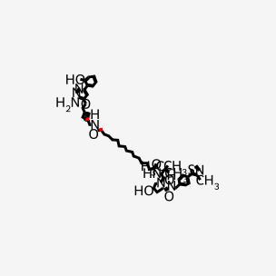 Cc1ncsc1-c1ccc(CNC(=O)[C@@H]2C[C@@H](O)CN2C(=O)[C@@H](NC(=O)CCCCCCCCCCCCCCC(=O)NCC23CC(COc4cc(-c5ccccc5O)nnc4N)(C2)C3)C(C)(C)C)cc1